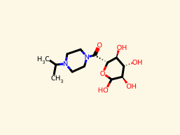 CC(C)N1CCN(C(=O)[C@H]2OC(O)[C@H](O)[C@@H](O)[C@@H]2O)CC1